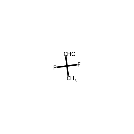 CC(F)(F)C=O